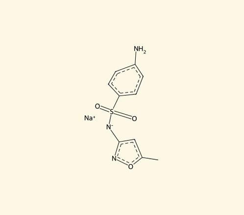 Cc1cc([N-]S(=O)(=O)c2ccc(N)cc2)no1.[Na+]